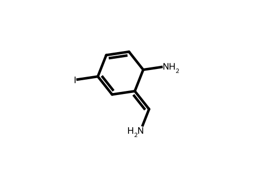 NC=C1C=C(I)C=CC1N